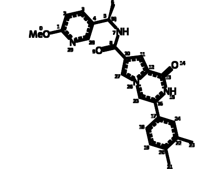 COc1ccc([C@@H](C)NC(=O)c2cc3c(=O)[nH]c(-c4ccc(C)c(C)c4)cn3c2)cn1